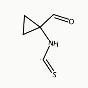 O=CC1(N[C]=S)CC1